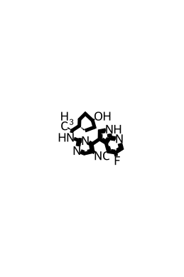 [C-]#[N+]c1cnc(N[C@H](C)[C@H]2CC[C@@H](O)CC2)nc1-c1c[nH]c2ncc(F)cc12